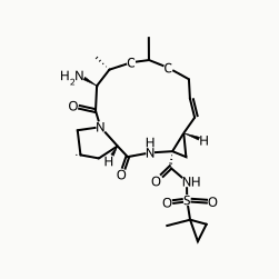 CC1CC/C=C\[C@@H]2C[C@@]2(C(=O)NS(=O)(=O)C2(C)CC2)NC(=O)[C@@H]2C[CH]CN2C(=O)[C@@H](N)[C@H](C)C1